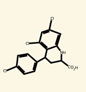 O=C(O)C1CC(c2ccc(Cl)cc2)c2c(Cl)cc(Cl)cc2N1